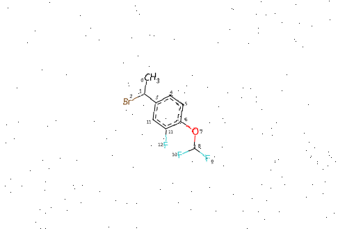 CC(Br)c1ccc(OC(F)F)c(F)c1